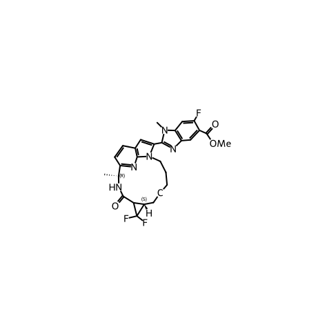 COC(=O)c1cc2nc(-c3cc4ccc5nc4n3CCCCC[C@H]3C(C(=O)N[C@@H]5C)C3(F)F)n(C)c2cc1F